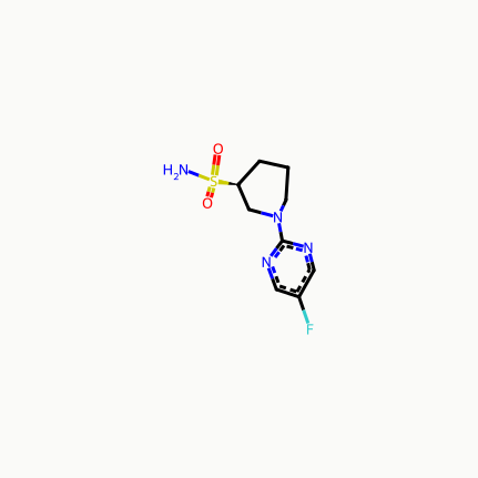 NS(=O)(=O)[C@H]1CCCN(c2ncc(F)cn2)C1